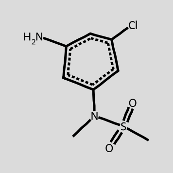 CN(c1cc(N)cc(Cl)c1)S(C)(=O)=O